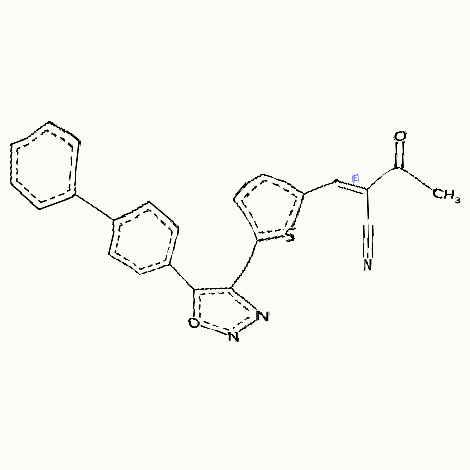 CC(=O)/C(C#N)=C/c1ccc(-c2nnoc2-c2ccc(-c3ccccc3)cc2)s1